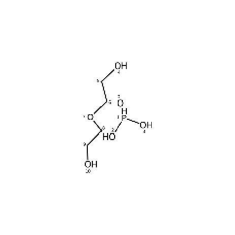 O=[PH](O)O.OCCOCCO